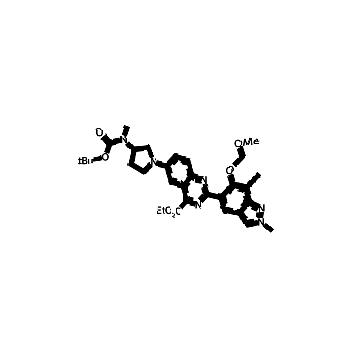 CCOC(=O)c1nc(-c2cc3cn(C)nc3c(C)c2OCOC)nc2ccc(N3CCC(N(C)C(=O)OC(C)(C)C)C3)cc12